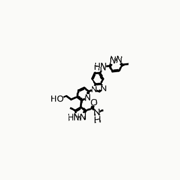 CNC(=O)c1n[nH]c(C)c1-c1nc(-n2cnc3cc(Nc4ccc(C)nn4)ccc32)ccc1CCO